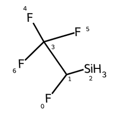 FC([SiH3])C(F)(F)F